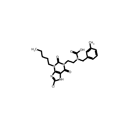 CCCCCn1c(=O)n(CCN(Cc2cccc(C)c2)C(=O)O)c(=O)c2[nH]c(Cl)nc21